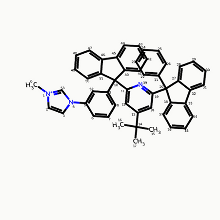 C[n+]1ccn(-c2cccc(C3(c4cc(C(C)(C)C)cc(C5(c6ccccc6)c6ccccc6-c6ccccc65)n4)c4ccccc4-c4ccccc43)c2)c1